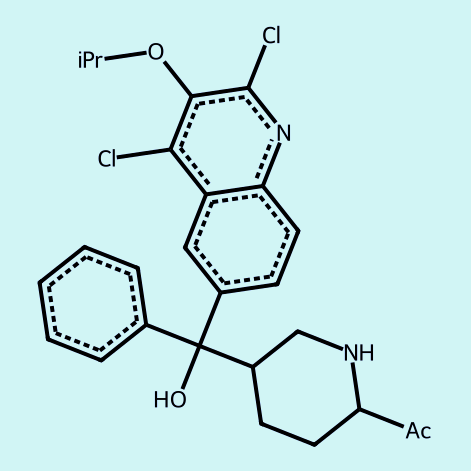 CC(=O)C1CCC(C(O)(c2ccccc2)c2ccc3nc(Cl)c(OC(C)C)c(Cl)c3c2)CN1